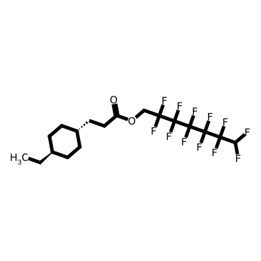 CC[C@H]1CC[C@H](CCC(=O)OCC(F)(F)C(F)(F)C(F)(F)C(F)(F)C(F)(F)C(F)F)CC1